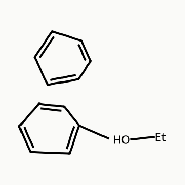 CCO.Cc1ccccc1.c1ccccc1